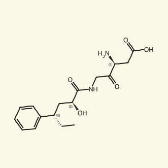 CC[C@@H](C[C@H](O)C(=O)NCC(=O)[C@@H](N)CC(=O)O)c1ccccc1